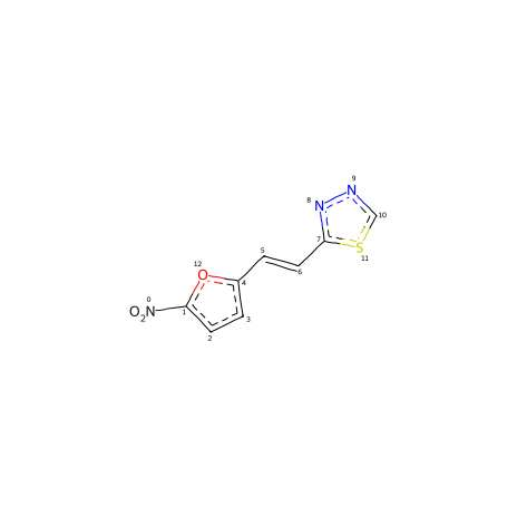 O=[N+]([O-])c1ccc(C=Cc2nncs2)o1